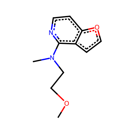 COCCN(C)c1nccc2occc12